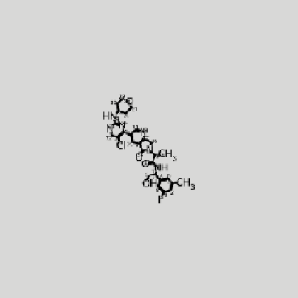 Cc1cc(F)cc([C@@H](CO)NC(=O)[C@@H](C)N2Cc3ncc(-c4nc(NC5CCOCC5)ncc4Cl)cc3C2=O)c1